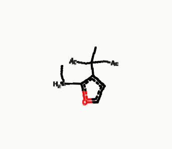 C[SiH2]c1occc1C(C)(C(C)=O)C(C)=O